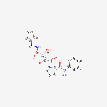 CN(C(=O)[C@@H]1CCCN1C(=O)[C@H](O)[C@@H](O)C(=O)NCc1ccco1)c1ccccc1